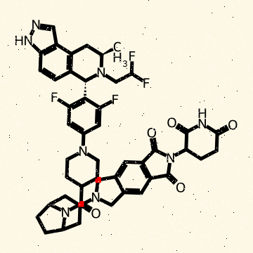 C[C@@H]1Cc2c(ccc3[nH]ncc23)[C@@H](c2c(F)cc(N3CCC(C(=O)N4C5CCC4CC(N4Cc6cc7c(cc6C4)C(=O)N(C4CCC(=O)NC4=O)C7=O)C5)CC3)cc2F)N1CC(F)F